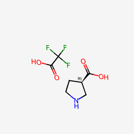 O=C(O)C(F)(F)F.O=C(O)[C@@H]1CCNC1